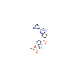 CCCS(=O)(=O)Nc1cccc(C(=O)c2ccc3ncc(-c4cccnc4)nc3c2)c1F